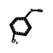 FC(F)(F)c1ccc([S][Na])cc1